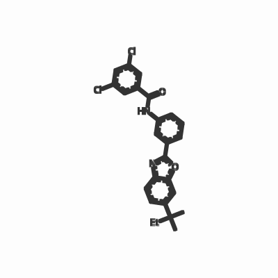 CCC(C)(C)c1ccc2nc(-c3cccc(NC(=O)c4cc(Cl)cc(Cl)c4)c3)oc2c1